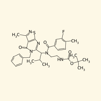 Cc1ccc(C(=O)N(CCNC(=O)OC(C)(C)C)C(c2nc3snc(C)c3c(=O)n2Cc2ccccc2)C(C)C)cc1F